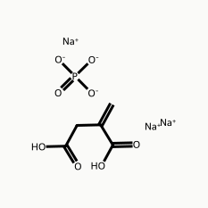 C=C(CC(=O)O)C(=O)O.O=P([O-])([O-])[O-].[Na+].[Na+].[Na+]